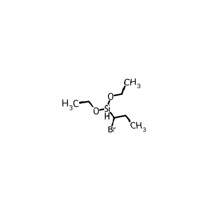 CCO[SiH](OCC)C(Br)CC